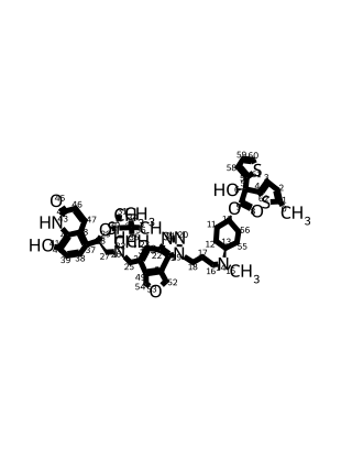 Cc1ccc([C@@](O)(C(=O)O[C@H]2CC[C@H](N(C)CCCn3nnc4cc(CNC[C@H](O[Si](C)(C)C(C)(C)C)c5ccc(O)c6[nH]c(=O)ccc56)c5c(c43)COC5)CC2)c2cccs2)s1